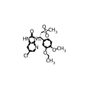 CCOc1cc([C@@H](CS(C)(=O)=O)n2c(=O)[nH]c3cc(Cl)cnc32)ccc1OC